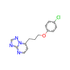 Clc1ccc(OCCCc2ccnc3ncnn23)cc1